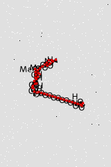 COc1cc2c(cc1OCCCOc1cc3c(cc1OC)C(=O)N1C=C(C4CC4)C[C@H]1C=N3)N=C[C@@H]1CC(c3ccc(NC(=O)[C@H](C)NC(=O)[C@@H](NC(=O)CCOCCOCCOCCOCCOCCOCCOCCOCCNC(=O)CCN4C(=O)CC(C)C4=O)C(C)C)cc3)=CN1C2=O